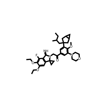 CCOc1cc2c(c(F)c1OCC)C(=N)N(CC(=O)c1cc(N3CCOCC3)c(OC)c(C3(CC(C)CC)CC4CC4C3)c1)C21CC1